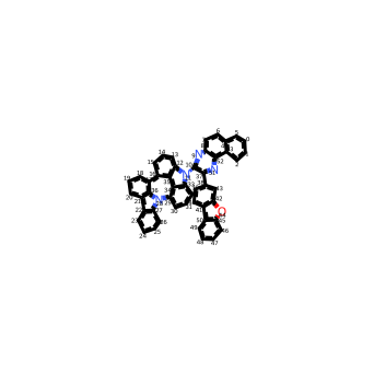 c1ccc2c(c1)ccc1nc(-n3c4cccc5c6cccc7c8ccccc8n(c8cccc3c8c54)c67)c(-c3ccc4c(c3)oc3ccccc34)nc12